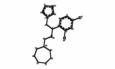 Clc1ccc(C(Cn2ccnc2)SCC2CCCCCC2)c(Cl)c1